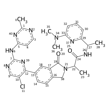 Cc1nccc(Nc2ncc(Cl)c(-c3ccc4c(c3)C(=O)N(C(C)C(=O)NC(C)c3cccc(N(C)C)n3)C4)n2)n1